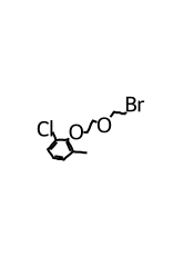 Cc1cccc(Cl)c1OCCOCCBr